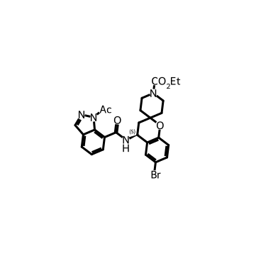 CCOC(=O)N1CCC2(CC1)C[C@H](NC(=O)c1cccc3cnn(C(C)=O)c13)c1cc(Br)ccc1O2